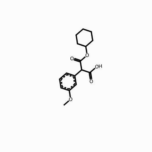 COc1cccc(C(C(=O)O)C(=O)OC2CCCCC2)c1